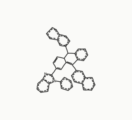 C1=CC2C(=C(c3ccc4ccccc4c3)c3ccccc3C2c2ccc3ccccc3c2)C=C1c1nc2ccccc2n1-c1ccccc1